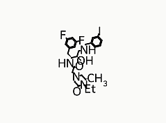 CCN1C(=O)CN(CC(=O)N[C@@H](Cc2cc(F)cc(F)c2)[C@H](O)CNCc2cccc(I)c2)C[C@@H]1C